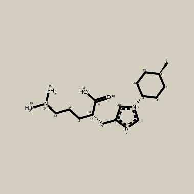 C[C@H]1CC[C@H](n2cnc(C[C@H](CCCN(P)P)C(=O)O)c2)CC1